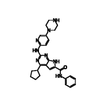 O=C(Nc1ccccc1)c1cc2c(C3CCCC3)nc(Nc3ccc(N4CCNCC4)cn3)nc2[nH]1